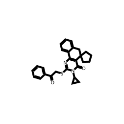 O=C(CSc1nc2c(c(=O)n1C1CC1)C1(CCCC1)Cc1ccccc1-2)c1ccccc1